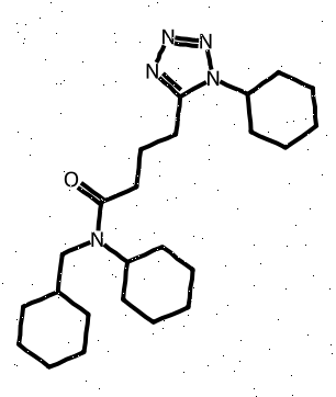 O=C(CCCc1nnnn1C1CCCCC1)N(CC1CCCCC1)C1CCCCC1